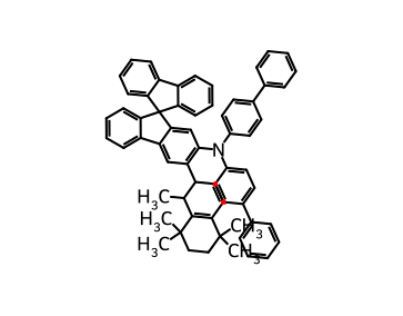 CC1C2=C(C=CC1c1cc3c(cc1N(c1ccc(-c4ccccc4)cc1)c1ccc(-c4ccccc4)cc1)C1(c4ccccc4-c4ccccc41)c1ccccc1-3)C(C)(C)CCC2(C)C